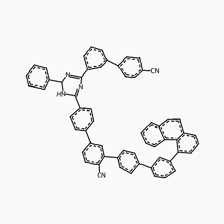 N#Cc1ccc(-c2cccc(C3=NC(c4ccccc4)NC(c4ccc(-c5ccc(C#N)c(-c6ccc(-c7cccc(-c8cccc9ccc%10ccccc%10c89)c7)cc6)c5)cc4)=N3)c2)cc1